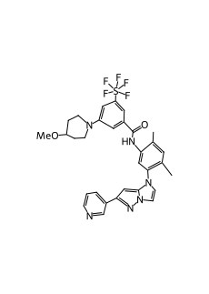 COC1CCN(c2cc(C(=O)Nc3cc(-n4ccn5nc(-c6cccnc6)cc45)c(C)cc3C)cc(S(F)(F)(F)(F)F)c2)CC1